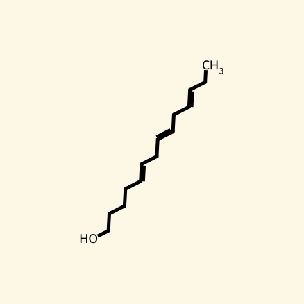 CCC=CCC=CCC=CCCCCO